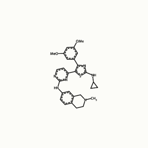 COc1cc(OC)cc(-c2nc(NC3CC3)sc2-c2ccnc(Nc3ccc4c(c3)CN(C)CC4)n2)c1